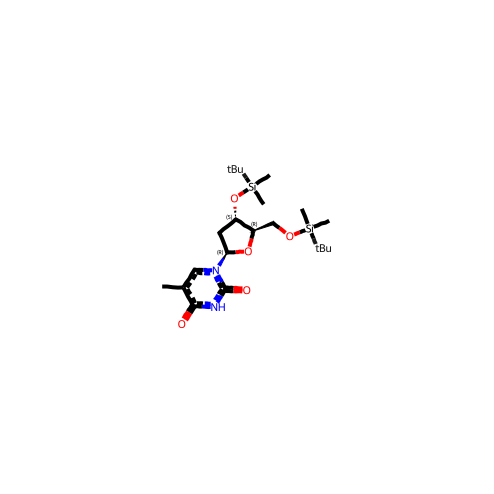 Cc1cn([C@H]2C[C@H](O[Si](C)(C)C(C)(C)C)[C@@H](CO[Si](C)(C)C(C)(C)C)O2)c(=O)[nH]c1=O